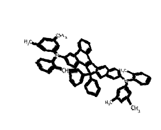 Cc1cc(C)cc(N(c2ccc3cc4c(cc3c2)C(c2ccccc2)(c2ccccc2)c2c-4c3ccccc3c3cc(N(c4cc(C)cc(C)c4)c4ccccc4C)ccc23)c2ccccc2C)c1